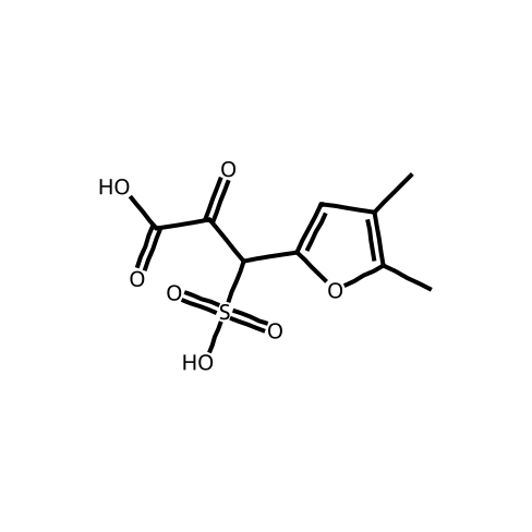 Cc1cc(C(C(=O)C(=O)O)S(=O)(=O)O)oc1C